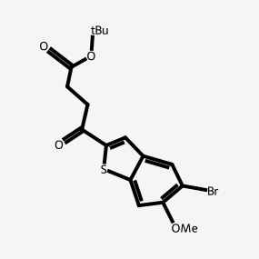 COc1cc2sc(C(=O)CCC(=O)OC(C)(C)C)cc2cc1Br